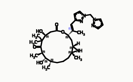 C/C(=C\c1ccn(Cn2cccn2)n1)[C@@H]1C[C@@H]2N[C@]2(C)CCC[C@H](C)[C@H](O)[C@@H](C)C(=O)C(C)(C)[C@@H](O)CC(=O)O1